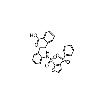 O=C(O)c1ccccc1CCc1ccccc1NS(=O)(=O)c1sccc1S(=O)(=O)c1ccccc1